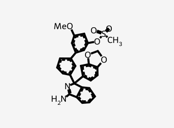 COc1cc(OS(C)(=O)=O)cc(-c2cccc(C3(c4ccc5c(c4)OCO5)N=C(N)c4ccccc43)c2)c1